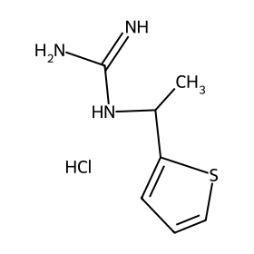 CC(NC(=N)N)c1cccs1.Cl